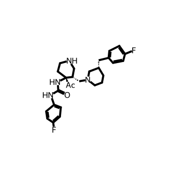 CC(=O)[C@@]1(NC(=O)Nc2ccc(F)cc2)CCNC[C@@H]1CN1CCC[C@@H](Cc2ccc(F)cc2)C1